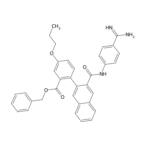 CCCOc1ccc(-c2cc3ccccc3cc2C(=O)Nc2ccc(C(=N)N)cc2)c(C(=O)OCc2ccccc2)c1